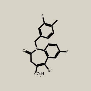 Cc1ccc(CN2C(=O)CC(C(=O)O)=C(Br)c3cc(F)ccc32)cc1F